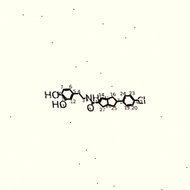 O=C(NCCc1ccc(O)c(O)c1)C1=C=C2CC(c3ccc(Cl)cc3)CC2C1